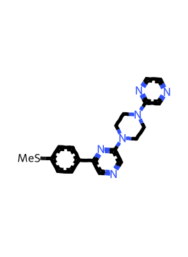 CSc1ccc(-c2cncc(N3CCN(c4cnccn4)CC3)n2)cc1